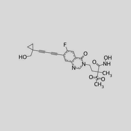 CC(CCn1cnc2cc(C#CC#CC3(CO)CC3)c(F)cc2c1=O)(C(=O)NO)S(C)(=O)=O